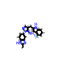 Cc1nc2cc(-n3ncc(Cc4cc5c(F)cccc5[nH]4)c3N)ccc2[nH]1